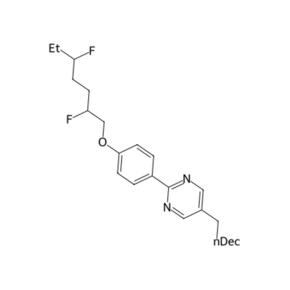 CCCCCCCCCCCc1cnc(-c2ccc(OCC(F)CCC(F)CC)cc2)nc1